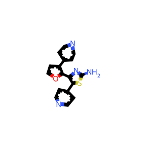 Nc1nc(-c2occc2-c2ccncc2)c(-c2ccncc2)s1